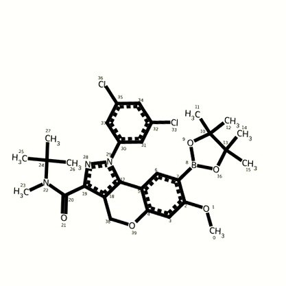 COc1cc2c(cc1B1OC(C)(C)C(C)(C)O1)-c1c(c(C(=O)N(C)C(C)(C)C)nn1-c1cc(Cl)cc(Cl)c1)CO2